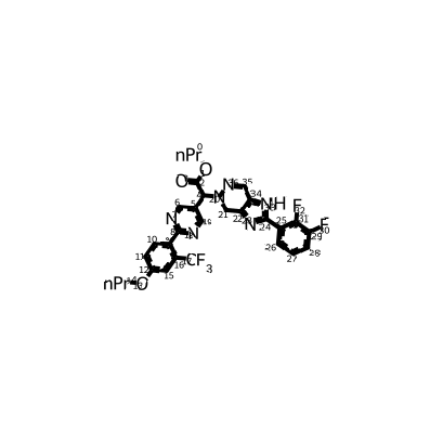 CCCOC(=O)C(c1cnc(-c2ccc(OCCC)cc2C(F)(F)F)nc1)N1Cc2nc(-c3cccc(F)c3F)[nH]c2C=N1